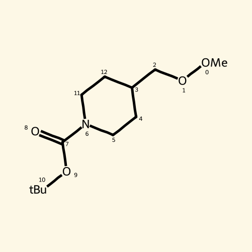 COOCC1CCN(C(=O)OC(C)(C)C)CC1